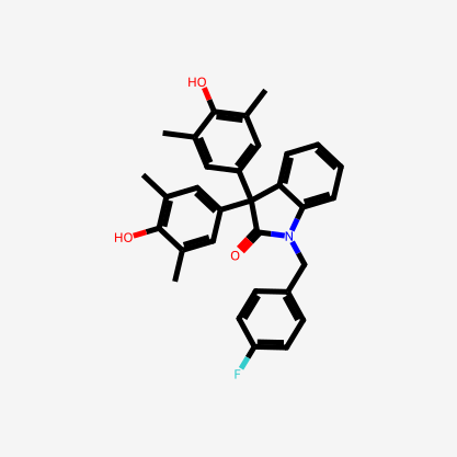 Cc1cc(C2(c3cc(C)c(O)c(C)c3)C(=O)N(Cc3ccc(F)cc3)c3ccccc32)cc(C)c1O